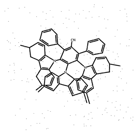 Cc1ccc2c(c1)c1c(n2-c2c(-c3ccccc3)c(C#N)c(-c3ccccc3)c(-n3c4c(c5c3C=CC(C)C5)CC(C)C=C4)c2-n2c3ccc(C)cc3c3cc(C)ccc32)C=CC(C)C1